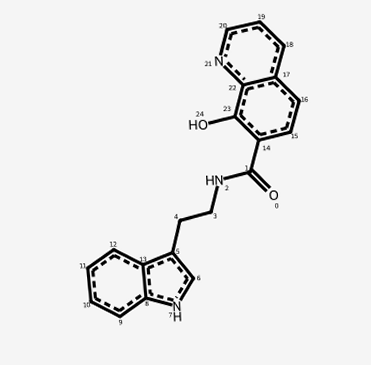 O=C(NCCc1c[nH]c2ccccc12)c1ccc2cccnc2c1O